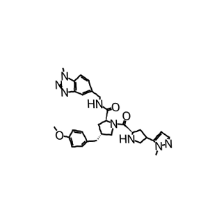 COc1ccc(C[C@@H]2C[C@@H](C(=O)NCc3ccc4c(c3)nnn4C)N(C(=O)[C@H]3CC(c4ccnn4C)CN3)C2)cc1